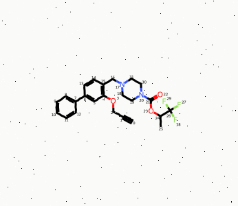 C#CCOc1cc(-c2ccccc2)ccc1CN1CCN(C(=O)OC(C)C(F)(F)F)CC1